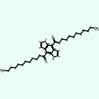 CCCCCCCCCCCC(=O)c1c2ccsc2c(C(=O)CCCCCCCCCCC)c2ccsc12